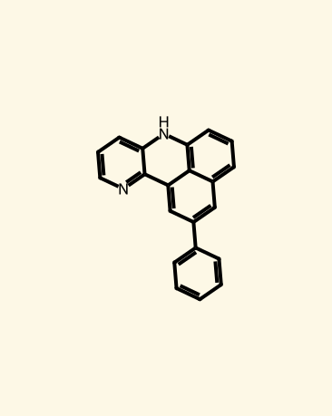 c1ccc(-c2cc3c4c(cccc4c2)Nc2cccnc2-3)cc1